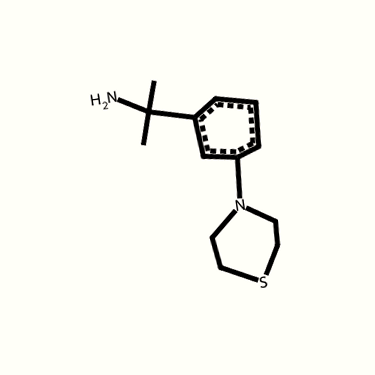 CC(C)(N)c1cccc(N2CCSCC2)c1